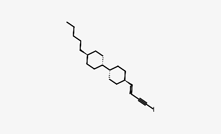 CCCCC[C@H]1CC[C@H]([C@H]2CC[C@H](C=CC#CI)CC2)CC1